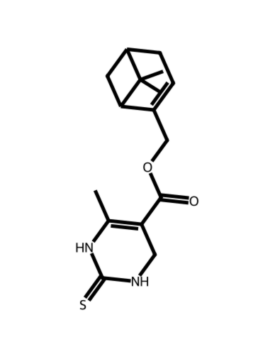 CC1=C(C(=O)OCC2=CCC3CC2C3(C)C)CNC(=S)N1